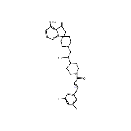 COc1cccc2c1NCC21CCN(CC(O)C2CCN(C(=O)/C=C/c3cc(F)cc(F)c3)CC2)CC1